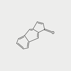 O=C1C=Cc2cc3ccccc3cc21